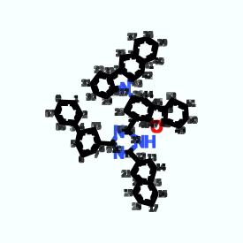 c1ccc(-c2cccc(C3=NC(c4ccc5ccccc5c4)NC(c4cc(-n5c6ccccc6c6cc7ccccc7cc65)cc5c4oc4ccccc45)=N3)c2)cc1